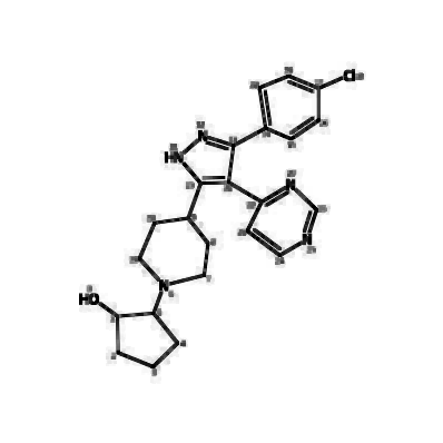 OC1CCCC1N1CCC(c2[nH]nc(-c3ccc(Cl)cc3)c2-c2ccncn2)CC1